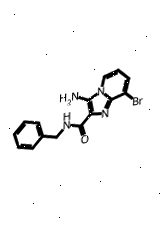 Nc1c(C(=O)NCc2ccccc2)nc2c(Br)cccn12